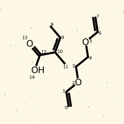 C=COCCOC=C.CC=C(C)C(=O)O